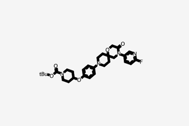 CC(C)(C)OC(=O)N1CCC(Oc2ccc(N3CCC4(CC3)CN(c3ccc(F)nc3)C(=O)CO4)cc2)CC1